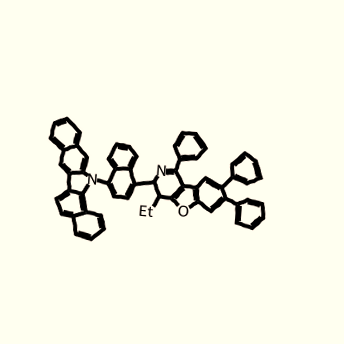 CCC1c2oc3cc(-c4ccccc4)c(-c4ccccc4)cc3c2C(c2ccccc2)=NC1c1ccc(-n2c3cc4ccccc4cc3c3ccc4ccccc4c32)c2ccccc12